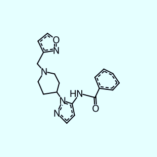 O=C(Nc1ccnn1C1CCN(Cc2ccon2)CC1)c1ccccc1